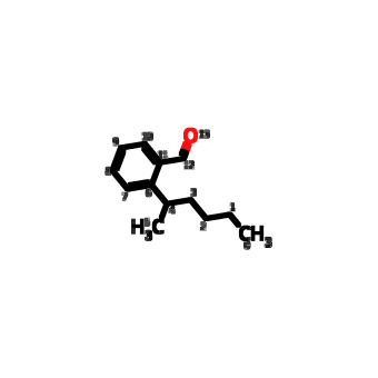 CCCCC(C)c1ccccc1C=O